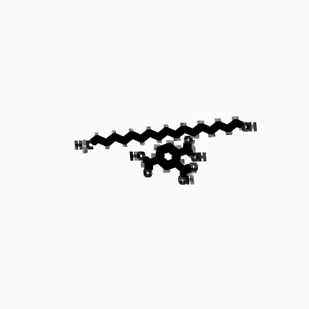 CCCCCCCCCCCCCCCCCCO.O=C(O)c1ccc(C(=O)O)c(C(=O)O)c1